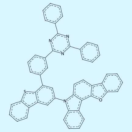 c1ccc(-c2nc(-c3ccccc3)nc(-c3cccc(-c4cc(-n5c6ccccc6c6c7oc8ccccc8c7ccc65)cc5c4sc4ccccc45)c3)n2)cc1